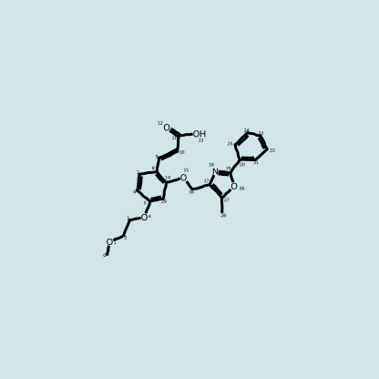 COCCOc1ccc(/C=C/C(=O)O)c(OCc2nc(-c3ccccc3)oc2C)c1